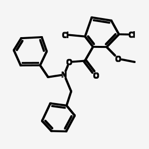 COc1c(Cl)ccc(Cl)c1C(=O)ON(Cc1ccccc1)Cc1ccccc1